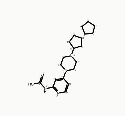 C1CCCC1.O=C(O)Nc1cc(N2CCN(C3CCCC3)CC2)ccn1